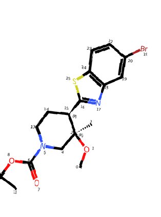 CO[C@@]1(C)CN(C(=O)OC(C)(C)C)CC[C@H]1c1nc2cc(Br)ccc2s1